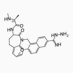 CN[C@@H](C)C(=O)NC1CCc2ccccc2N(Cc2c(OC)ccc3cc(C(=N)NN)ccc23)C1=O